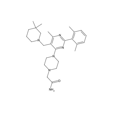 Cc1cccc(C)c1-c1nc(C)c(CN2CCCC(C)(C)C2)c(N2CCN(CC(N)=O)CC2)n1